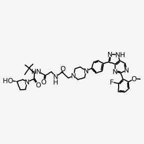 COc1cccc(F)c1-c1ncc2[nH]nc(-c3ccc(N4CCN(CC(=O)NCC(=O)N[C@H](C(=O)N5CC[C@@H](O)C5)C(C)(C)C)CC4)cc3)c2n1